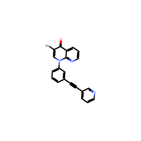 CC(=O)c1cn(-c2cccc(C#Cc3cccnc3)c2)c2ncccc2c1=O